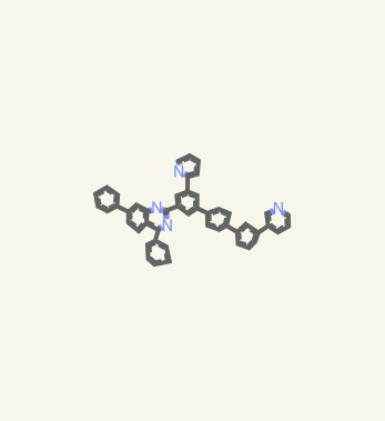 c1ccc(-c2ccc3c(-c4ccccc4)nc(-c4cc(-c5ccc(-c6cccc(-c7cccnc7)c6)cc5)cc(-c5ccccn5)c4)nc3c2)cc1